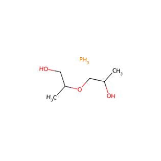 CC(O)COC(C)CO.P